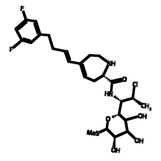 CSC1O[C@H]([C@H](NC(=O)[C@@H]2CC=C(/C=C/CCc3cc(F)cc(F)c3)CCN2)[C@H](C)Cl)C(O)C(O)[C@H]1O